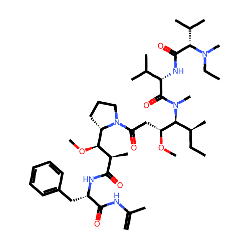 C=C(C)NC(=O)[C@H](Cc1ccccc1)NC(=O)[C@H](C)[C@@H](OC)[C@@H]1CCCN1C(=O)C[C@@H](OC)[C@H]([C@@H](C)CC)N(C)C(=O)[C@@H](NC(=O)[C@H](C(C)C)N(C)CC)C(C)C